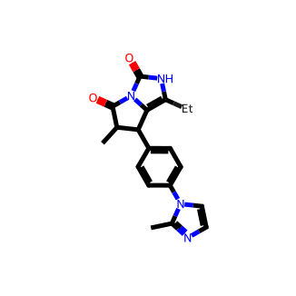 CCc1[nH]c(=O)n2c1C(c1ccc(-n3ccnc3C)cc1)C(C)C2=O